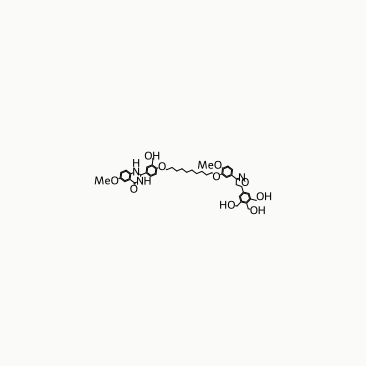 COc1ccc2c(c1)C(=O)NC(c1ccc(OCCCCCCCCCCOc3cc(C4=NOC(c5cc(CO)c(CO)c(CO)c5)C4)ccc3OC)c(CO)c1)N2